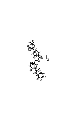 Cc1cnc(CCC(N)N2CCN(C(=O)OC(C)(C)C)CC2)nc1-c1cc2ccccc2s1